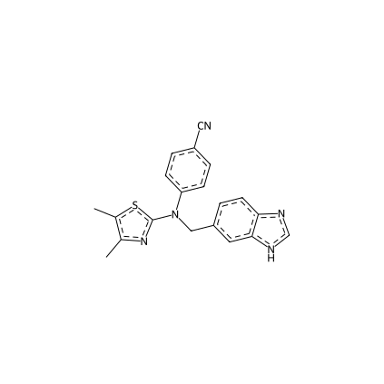 Cc1nc(N(Cc2ccc3nc[nH]c3c2)c2ccc(C#N)cc2)sc1C